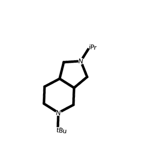 CC(C)N1CC2CCN(C(C)(C)C)CC2C1